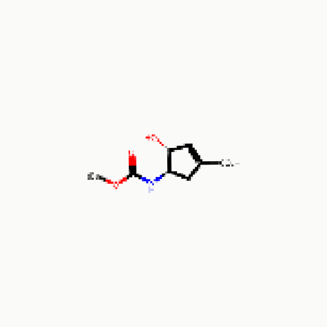 CC(C)(C)OC(=O)N[C@@H]1CC(C(=O)O)=C[C@H]1O